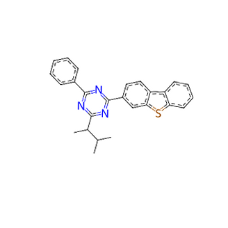 CC(C)C(C)c1nc(-c2ccccc2)nc(-c2ccc3c(c2)sc2ccccc23)n1